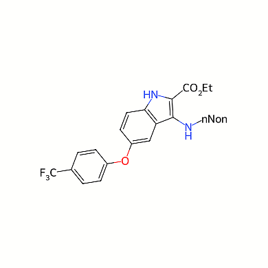 CCCCCCCCCNc1c(C(=O)OCC)[nH]c2ccc(Oc3ccc(C(F)(F)F)cc3)cc12